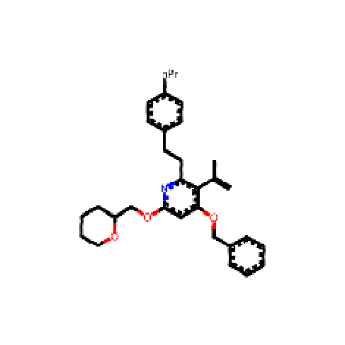 C=C(C)c1c(OCc2ccccc2)cc(OCC2CCCCO2)nc1CCc1ccc(CCC)cc1